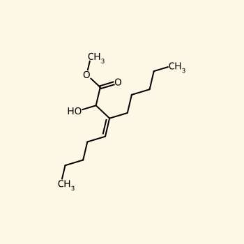 CCCCC=C(CCCCC)C(O)C(=O)OC